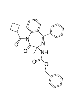 CC1(NC(=O)OCc2ccccc2)N=C(c2ccccc2)c2ccccc2N(C(=O)C2CCC2)C1=O